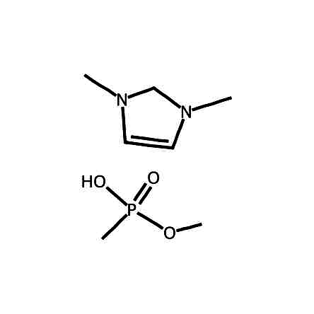 CN1C=CN(C)C1.COP(C)(=O)O